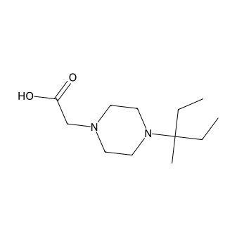 CCC(C)(CC)N1CCN(CC(=O)O)CC1